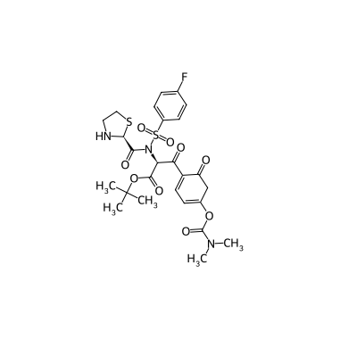 CN(C)C(=O)OC1=CC=C(C(=O)[C@@H](C(=O)OC(C)(C)C)N(C(=O)[C@H]2NCCS2)S(=O)(=O)c2ccc(F)cc2)C(=O)C1